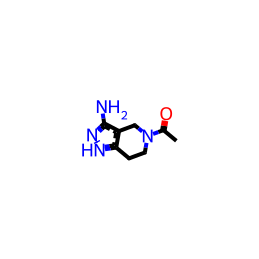 CC(=O)N1CCc2[nH]nc(N)c2C1